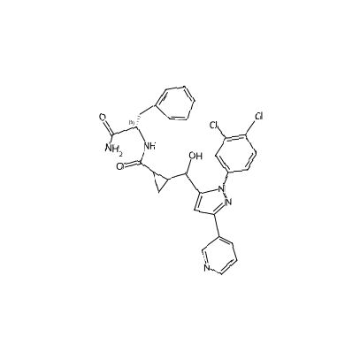 NC(=O)[C@H](Cc1ccccc1)NC(=O)C1CC1C(O)c1cc(-c2cccnc2)nn1-c1ccc(Cl)c(Cl)c1